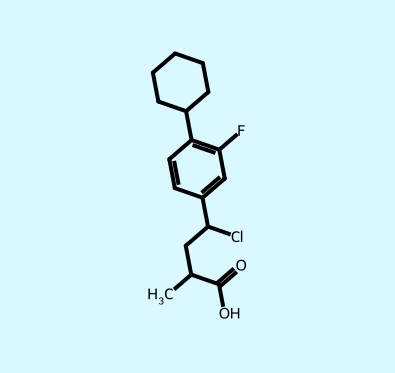 CC(CC(Cl)c1ccc(C2CCCCC2)c(F)c1)C(=O)O